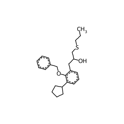 CCCSCC(O)Cc1cccc(C2CCCC2)c1OCc1ccccc1